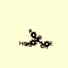 O=C1[C@H](CC[C@H](O)c2ccc(F)cc2)[C@@H](c2ccc(OCCO)cc2)N1c1ccc(F)cc1